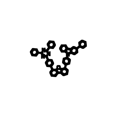 c1ccc(-c2ccc3c(c2)c2ccccc2n3-c2ccc(-c3cccc4c3oc3c(-c5ccc(-c6nc(-c7ccccc7)nc(-c7ccccc7)n6)cc5)cccc34)cc2)cc1